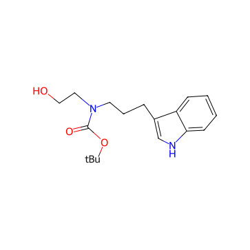 CC(C)(C)OC(=O)N(CCO)CCCc1c[nH]c2ccccc12